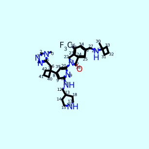 Cn1cnnc1CC1(c2cc(NCC3CCNCC3)nc(N3Cc4c(cc(CNC5(C)CCC5)cc4C(F)(F)F)C3=O)c2)CCC1